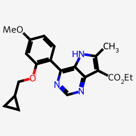 CCOC(=O)c1c(C)[nH]c2c(-c3ccc(OC)cc3OCC3CC3)ncnc12